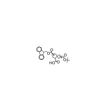 CC(C)(C)OC(=O)N1CC2(CN(C(=O)OCC3c4ccccc4-c4ccccc43)CC2C(=O)O)C1